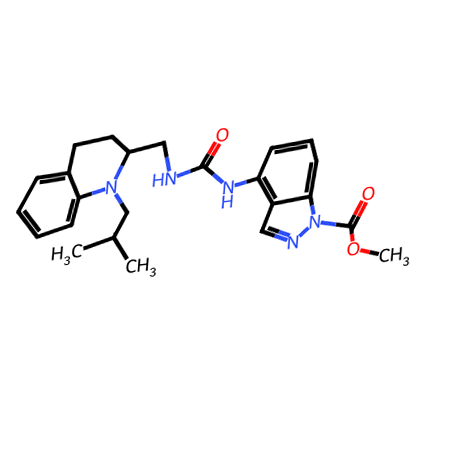 COC(=O)n1ncc2c(NC(=O)NCC3CCc4ccccc4N3C[C](C)C)cccc21